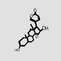 CC12CCC(O)CC1CCC1C2CCC2(C)C(c3ccc(=O)oc3)C(O)C3OC132